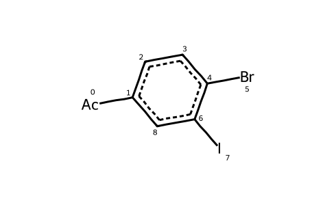 CC(=O)c1ccc(Br)c(I)c1